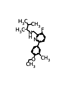 CCOc1ccc(-c2ccc(F)c(CN[C@H](C)C(C)C)n2)cc1C